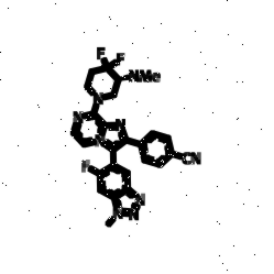 CN[C@H]1CN(c2nccn3c(-c4cc5nnn(C)c5cc4F)c(-c4ccc(C#N)cc4)nc23)CCC1(F)F